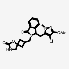 COc1nn(C)c(CC2c3ccccc3C(=O)N2CC2CC3(CNC(=O)O3)C2)c1Cl